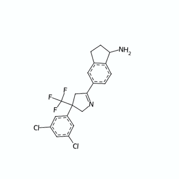 NC1CCc2cc(C3=NCC(c4cc(Cl)cc(Cl)c4)(C(F)(F)F)C3)ccc21